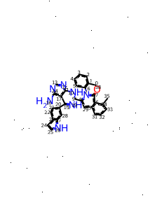 Cc1ccccc1-n1c(CNc2ncnc(N)c2C(=N)c2ccc3cc[nH]c3c2)cc2cccc(C)c2c1=O